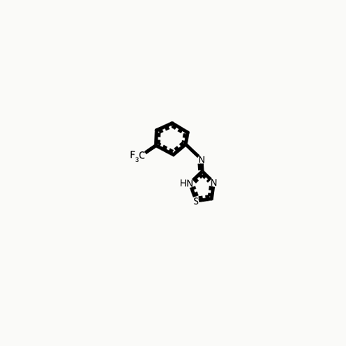 FC(F)(F)c1cccc(N=c2ncs[nH]2)c1